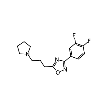 Fc1ccc(-c2noc(CCCN3CCCC3)n2)cc1F